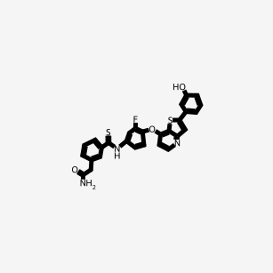 NC(=O)Cc1cccc(C(=S)Nc2ccc(Oc3ccnc4cc(-c5cccc(O)c5)sc34)c(F)c2)c1